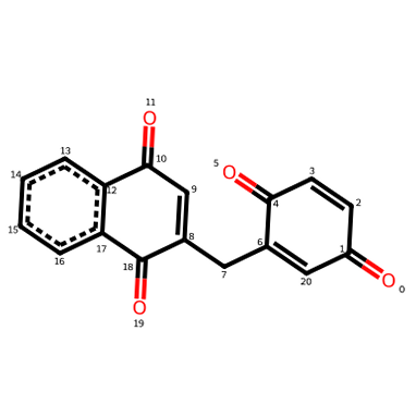 O=C1C=CC(=O)C(CC2=CC(=O)c3ccccc3C2=O)=C1